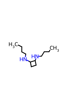 CCCCNC1CCC1NCCCC